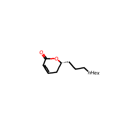 CCCCCCCCC[C@@H]1CC=CC(=O)O1